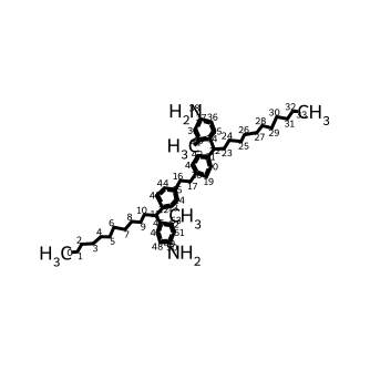 CCCCCCCCCCCC(c1ccc(CCc2ccc(C(CCCCCCCCCCC)c3ccc(N)cc3C)cc2)cc1)c1ccc(N)cc1C